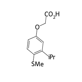 CSc1ccc(OCC(=O)O)cc1C(C)C